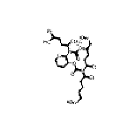 CCCCCCCCCCCCCCC(CC)N(C(=O)O[C@@H]1CCCO[C@H]1N(C(=O)OC)C(CCC(O)CC)C(=O)O)C(CC)CCCCCCCCCCCCCC